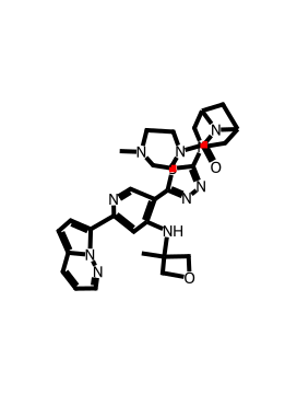 CN1CCN(C(=O)N2C3CC2CN(c2nnc(-c4cnc(-c5ccc6cccnn56)cc4NC4(C)COC4)s2)C3)CC1